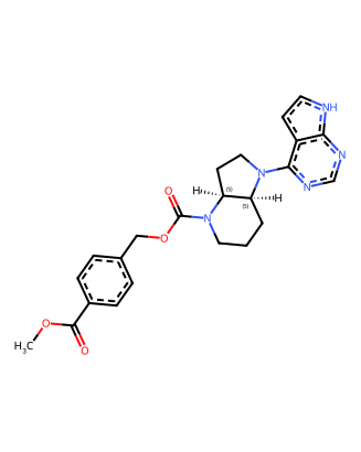 COC(=O)c1ccc(COC(=O)N2CCC[C@H]3[C@@H]2CCN3c2ncnc3[nH]ccc23)cc1